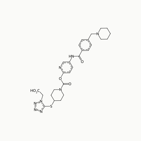 O=C(O)Cn1nnnc1SC1CCN(C(=O)Oc2ccc(NC(=O)c3ccc(CN4CCCCC4)cc3)cn2)CC1